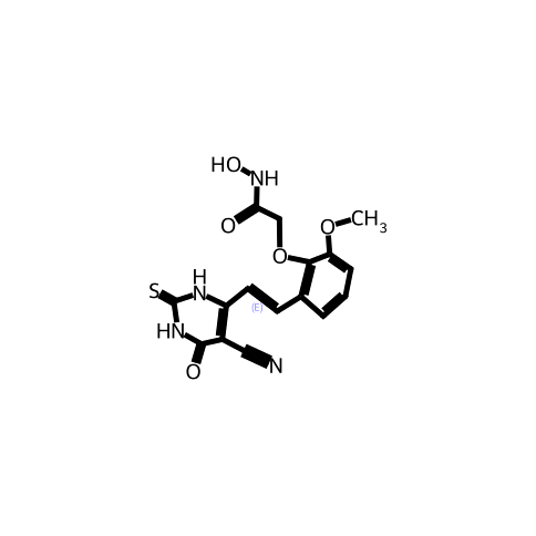 COc1cccc(/C=C/c2[nH]c(=S)[nH]c(=O)c2C#N)c1OCC(=O)NO